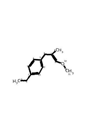 CCc1ccc(CC(C)=COC)cc1